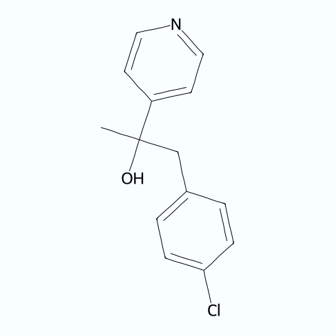 CC(O)(Cc1ccc(Cl)cc1)c1ccncc1